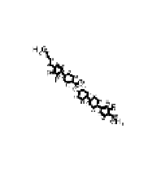 CCCCCc1ccc(C2CCC(C(=O)OC3CCC(C4CCC(c5ccc(CC)c(F)c5F)CC4)CC3)CC2)c(F)c1F